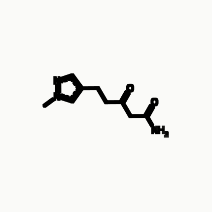 Cn1cc(CCC(=O)CC(N)=O)cn1